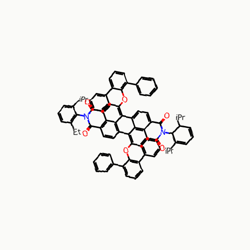 CCc1cccc(C(C)C)c1N1C(=O)c2ccc3c4c(Oc5c(-c6ccccc6)cccc5-c5ccccc5)cc5c6c(ccc(c7c(Oc8c(-c9ccccc9)cccc8-c8ccccc8)cc(c2c37)C1=O)c64)C(=O)N(C1C(C(C)C)=CC=CC1C(C)C)C5=O